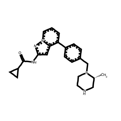 C[C@@H]1CNCCN1Cc1ccc(-c2cccn3nc(NC(=O)C4CC4)cc23)cc1